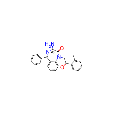 Cc1ccccc1C(=O)CN1C(=O)[C@H](N)N=C(c2ccccc2)c2ccccc21